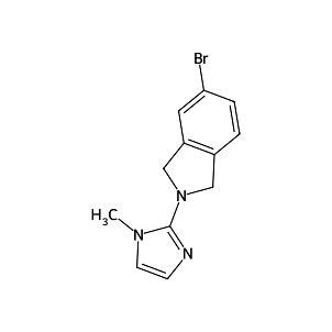 Cn1ccnc1N1Cc2ccc(Br)cc2C1